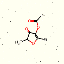 CCC1=C(OC(=O)C(C)C)C(=O)C(C)O1